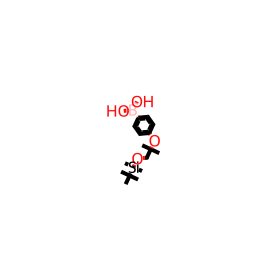 CC(C)(CO[Si](C)(C)C(C)(C)C)Oc1ccc(B(O)O)cc1